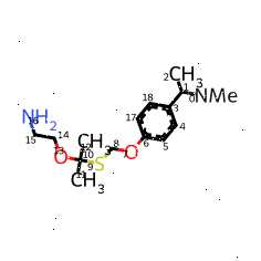 CNC(C)c1ccc(OCSC(C)(C)OCCN)cc1